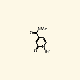 CNC(=O)c1ccn(C(C)C)c(=O)c1